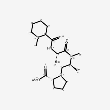 COC(=O)[C@H]1CCCN1C[C@H](C(C)C)N(C)C(=O)[C@@H](NC(=O)C1CCCCN1C)C(C)(C)C